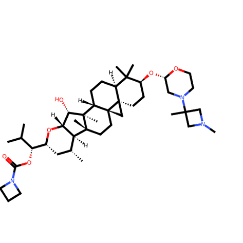 CC(C)[C@@H](OC(=O)N1CCC1)[C@H]1C[C@@H](C)[C@H]2[C@H](O1)[C@H](O)[C@@]1(C)[C@@H]3CC[C@H]4C(C)(C)[C@@H](O[C@H]5CN(C6(C)CN(C)C6)CCO5)CC[C@@]45C[C@@]35CC[C@]21C